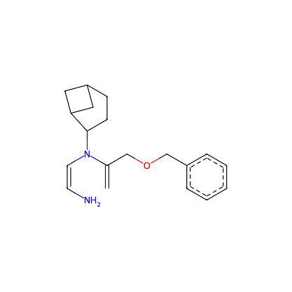 C=C(COCc1ccccc1)N(/C=C\N)C1CCC2CC1C2